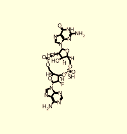 Nc1nc2c(ncn2[C@@H]2O[C@@H]3CO[P@@](=O)(S)O[C@H]4[C@@H](F)[C@H](n5cnc6c(N)ncnc65)O[C@@H]4CO[PH](=O)O[C@@H]2[C@@H]3O)c(=O)[nH]1